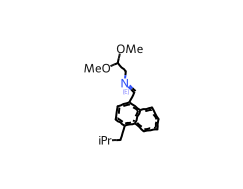 COC(C/N=C/c1ccc(CC(C)C)c2ccccc12)OC